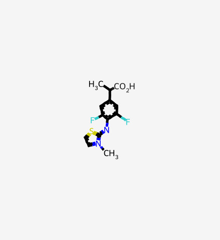 CC(C(=O)O)c1cc(F)c(/N=c2\sccn2C)c(F)c1